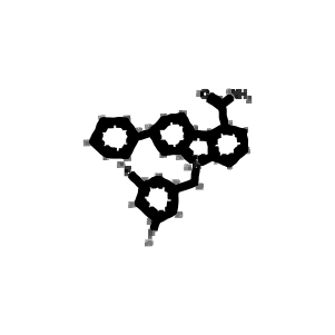 NC(=O)c1cccc2c1c1[c]cc(-c3ccccc3)cc1n2Cc1cc(F)cc(F)c1